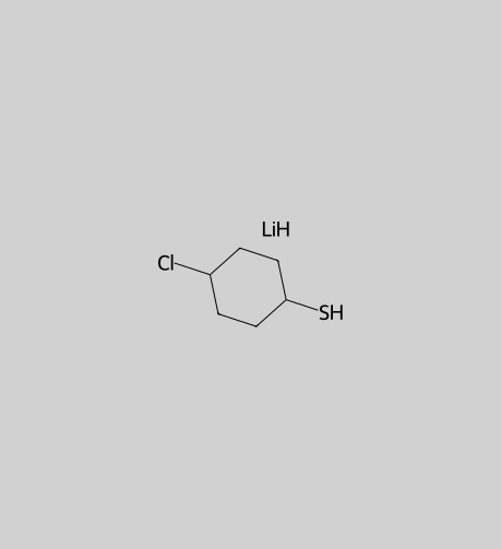 SC1CCC(Cl)CC1.[LiH]